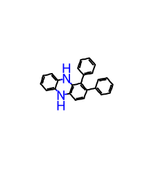 c1ccc(-c2ccc3c(c2-c2ccccc2)Nc2ccccc2N3)cc1